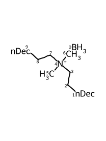 B.CCCCCCCCCCCC[N+](C)(C)CCCCCCCCCCCC